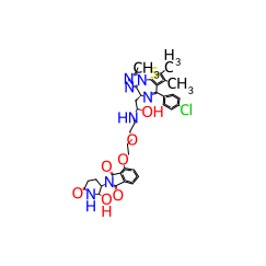 Cc1sc2c(c1C)C(c1ccc(Cl)cc1)=N[C@@H](CC(O)NCCOCCOc1cccc3c1C(=O)N(C1CCC(=O)NC1O)C3=O)c1nnc(C)n1-2